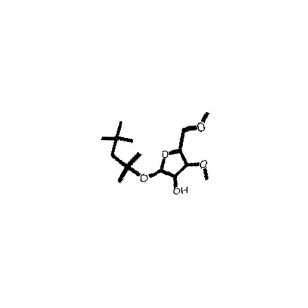 COCC1OC(OC(C)(C)CC(C)(C)C)C(O)C1OC